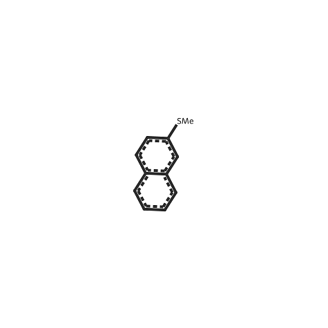 [CH2]Sc1ccc2ccccc2c1